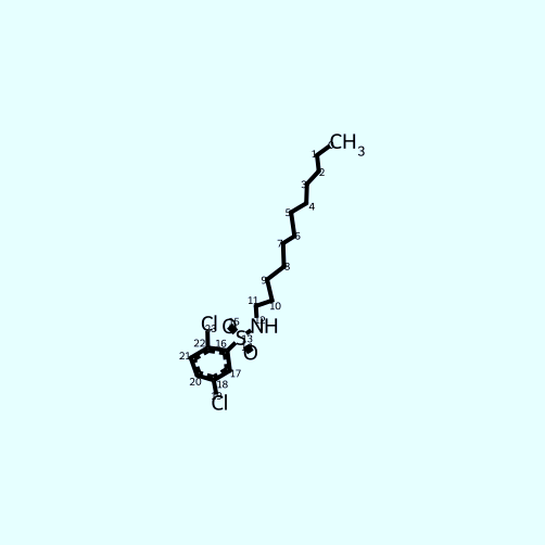 CCCCCCCCCCCCNS(=O)(=O)c1cc(Cl)ccc1Cl